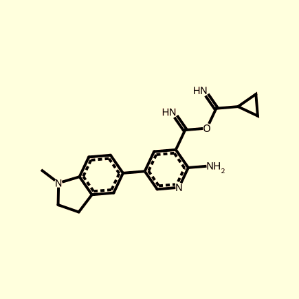 CN1CCc2cc(-c3cnc(N)c(C(=N)OC(=N)C4CC4)c3)ccc21